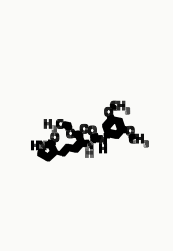 CCOC(=O)C(=CCC[C@H]1CCNC1=O)NC(=O)Nc1cc(OC)cc(OC)c1